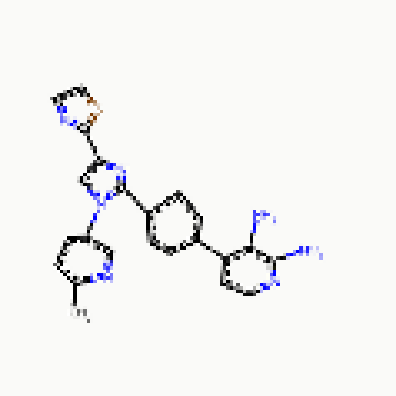 Cc1ccc(-n2cc(-c3nccs3)nc2-c2ccc(-c3ccnc(N)c3N)cc2)cn1